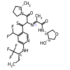 CC[C@H](Nc1cc(C(F)F)c(C(=S)C(/N=C(\C)C(=O)N[C@@H]2COC[C@@H]2O)C(=O)N2CCC[C@@H]2C)cn1)C(F)(F)F